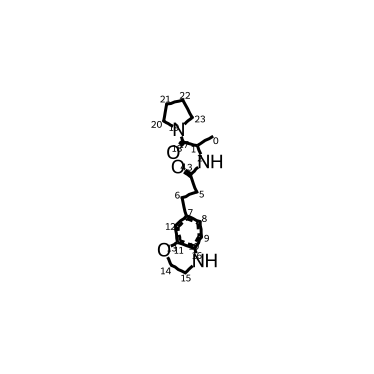 CC(NC(=O)CCc1ccc2c(c1)OCCN2)C(=O)N1CCCC1